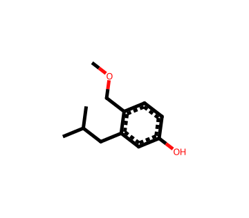 COCc1ccc(O)cc1CC(C)C